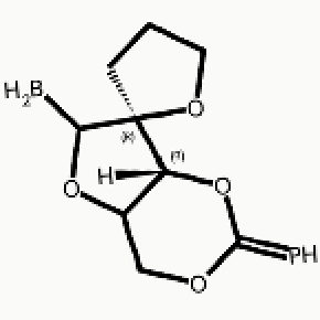 BC1OC2COC(=P)O[C@H]2[C@@]12CCCO2